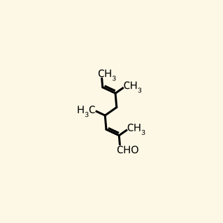 CC=C(C)CC(C)C=C(C)C=O